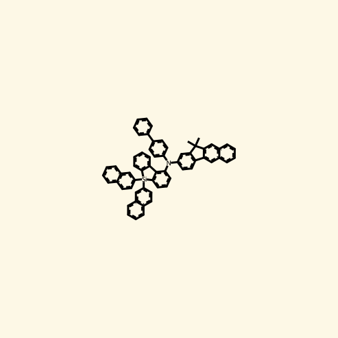 CC1(C)c2cc(N(c3ccc(-c4ccccc4)cc3)c3cccc4c3-c3ccccc3[Si]4(c3ccc4ccccc4c3)c3ccc4ccccc4c3)ccc2-c2cc3ccccc3cc21